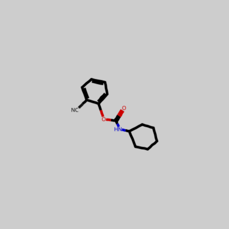 N#Cc1ccccc1OC(=O)NC1CCCCC1